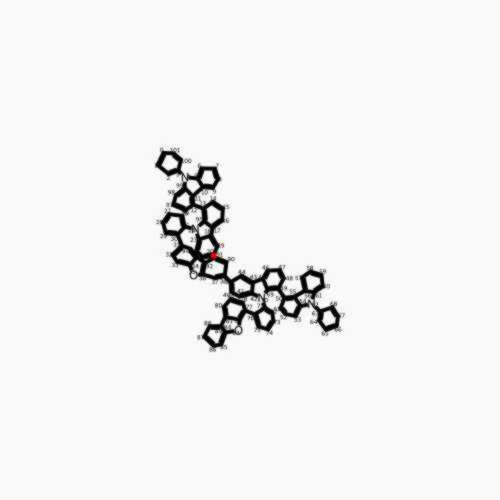 c1ccc(-n2c3ccccc3c3c(-c4cccc5c6ccccc6n(-c6ccccc6-c6ccc7oc8cc(-c9ccc%10c(c9)c9cccc(-c%11cccc%12c%11c%11ccccc%11n%12-c%11ccccc%11)c9n%10-c9ccccc9-c9cccc%10c9oc9ccccc9%10)ccc8c7c6)c45)cccc32)cc1